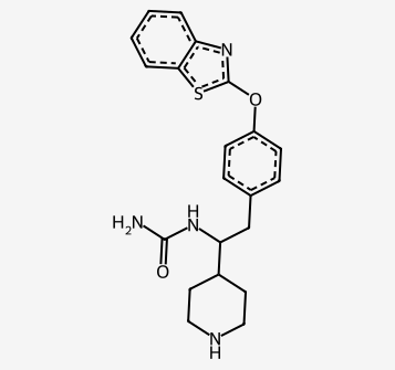 NC(=O)NC(Cc1ccc(Oc2nc3ccccc3s2)cc1)C1CCNCC1